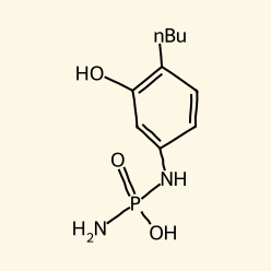 CCCCc1ccc(NP(N)(=O)O)cc1O